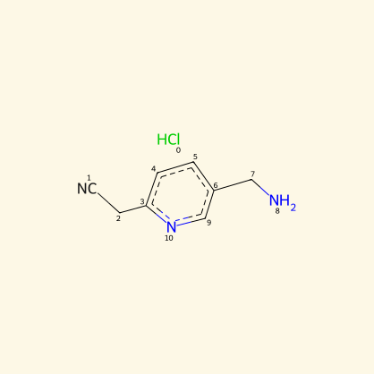 Cl.N#CCc1ccc(CN)cn1